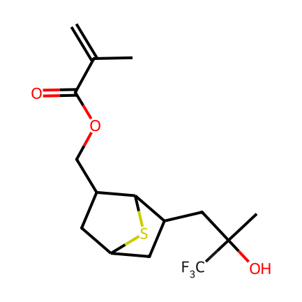 C=C(C)C(=O)OCC1CC2CC(CC(C)(O)C(F)(F)F)C1S2